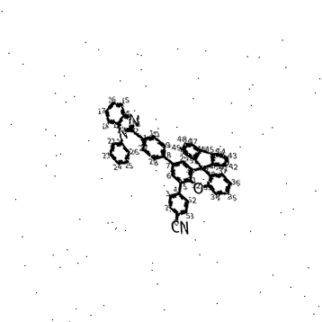 N#Cc1ccc(-c2cc(-c3ccc(-c4nc5ccccc5n4-c4ccccc4)cc3)cc3c2Oc2ccccc2C32c3ccccc3-c3ccccc32)cc1